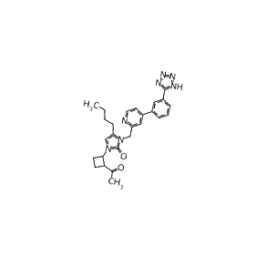 CCCCc1cn(C2CCC2C(C)=O)c(=O)n1Cc1cc(-c2cccc(-c3nnn[nH]3)c2)ccn1